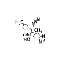 C=C1CC[C@@H]([C@H](CN=[N+]=[N-])[C@H](CCCC)[C@@]2(C)Cc3nccnc3C[C@@H]2CO)C1